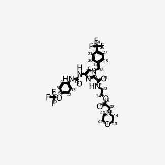 O=C(Nc1ccc(OC(F)(F)F)cc1)Nc1cn(Cc2ccc(C(F)(F)F)cc2)c(C(=O)NCCOC(=O)CN2CCOCC2)n1